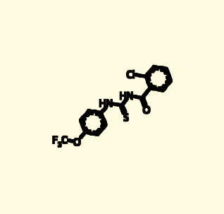 O=C(NC(=S)Nc1ccc(OC(F)(F)F)cc1)c1ccccc1Cl